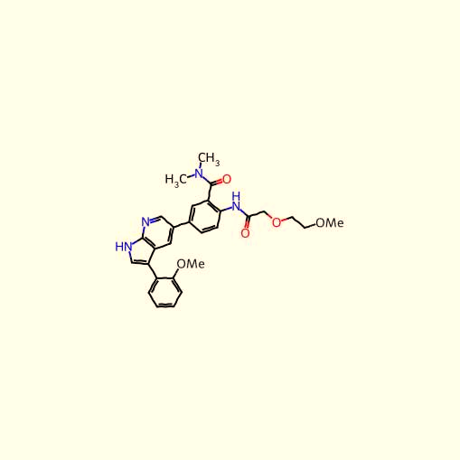 COCCOCC(=O)Nc1ccc(-c2cnc3[nH]cc(-c4ccccc4OC)c3c2)cc1C(=O)N(C)C